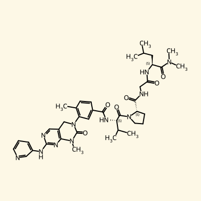 Cc1ccc(C(=O)N[C@H](C(=O)N2CCC[C@H]2C(=O)NCC(=O)N[C@@H](CC(C)C)C(=O)N(C)C)C(C)C)cc1N1Cc2cnc(Nc3cccnc3)nc2N(C)C1=O